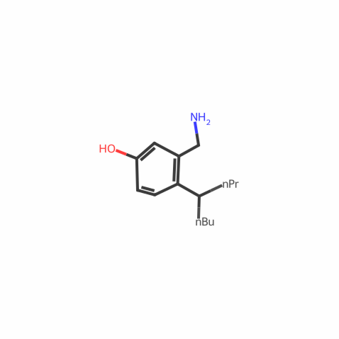 CCCCC(CCC)c1ccc(O)cc1CN